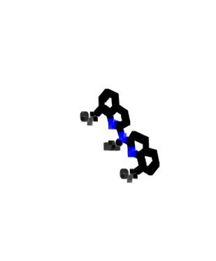 CCCCN(c1ccc2cccc([N+](=O)[O-])c2n1)c1ccc2cccc([N+](=O)[O-])c2n1